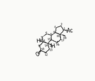 CC(=O)[C@@H]1CCC2C3CC[C@H]4CC(=O)CC[C@H]4C3CC[C@]21C